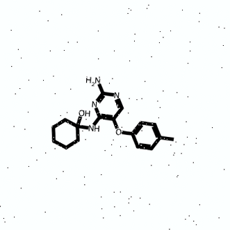 Cc1ccc(Oc2cnc(N)nc2NC2(O)CCCCC2)cc1